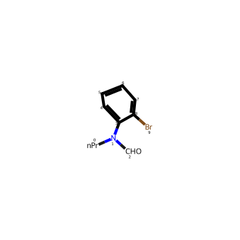 CCCN(C=O)c1ccccc1Br